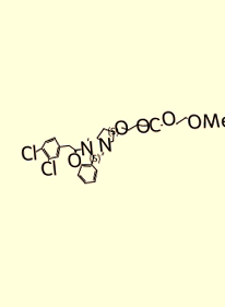 COCCOCCOCCO[C@H]1CCN(C[C@H](c2ccccc2)N(C)C(=O)Cc2ccc(Cl)c(Cl)c2)C1